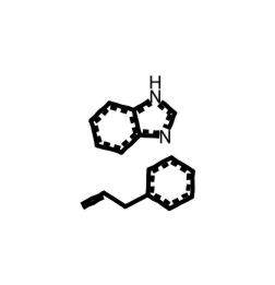 C=CCc1ccccc1.c1ccc2[nH]cnc2c1